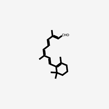 CC(C=C/C=C(/C)C=CC1=C(C)CCCC1(C)C)=C[C]=O